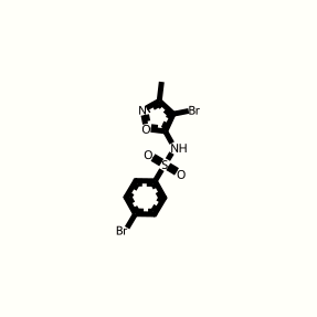 Cc1noc(NS(=O)(=O)c2ccc(Br)cc2)c1Br